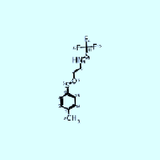 Cc1ccc(SOCCNSC(F)(F)F)cc1